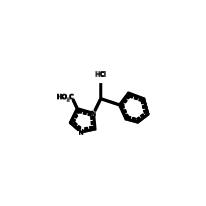 CC(c1ccccc1)n1cncc1C(=O)O.Cl